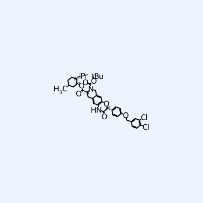 CC1CC[C@@H](C(C)C)[C@H](OC(=O)[C@@H]2Cc3cc4c(cc3CN2C(=O)OC(C)(C)C)O[C@H](c2ccc(OCc3ccc(Cl)c(Cl)c3)cc2)C(=O)N4)C1